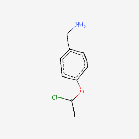 C[C](Cl)Oc1ccc(CN)cc1